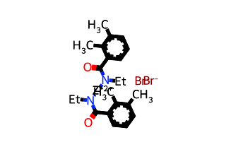 CC[N]([Zr+2][N](CC)C(=O)c1cccc(C)c1C)C(=O)c1cccc(C)c1C.[Br-].[Br-]